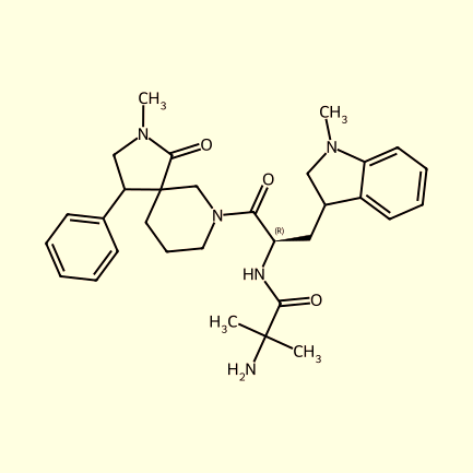 CN1CC(c2ccccc2)C2(CCCN(C(=O)[C@@H](CC3CN(C)c4ccccc43)NC(=O)C(C)(C)N)C2)C1=O